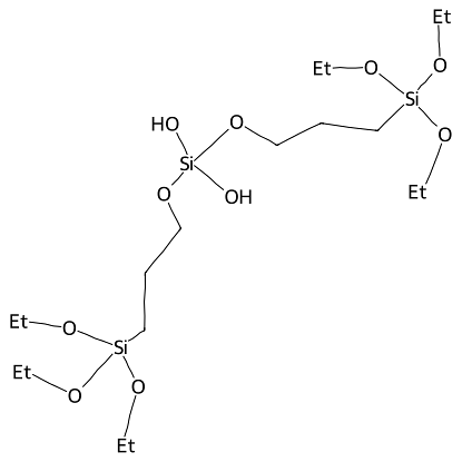 CCO[Si](CCCO[Si](O)(O)OCCC[Si](OCC)(OCC)OCC)(OCC)OCC